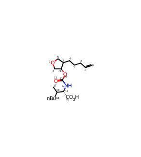 C=CCCCC1COCC1OC(=O)N[C@H](C(=O)O)C(C)CCCC